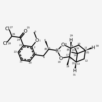 COc1c(C[C@@H](C)B2O[C@@H]3C[C@@H]4C[C@@H](C4(C)C)[C@]3(C)O2)cccc1C(=O)C(Cl)Cl